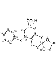 O=C(O)C1CC2=C(CCC3(C2)OCCO3)N(Cc2ccccc2)C1